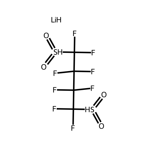 O=[SH](=O)C(F)(F)C(F)(F)C(F)(F)C(F)(F)[SH](=O)=O.[LiH]